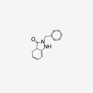 O=C1C2CC=CC=C2NN1Cc1ccccc1